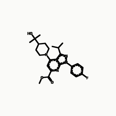 COC(=O)c1cc(N2CCC(C(C)(C)O)CC2)c2c(C(C)C)nn(-c3ccc(F)cc3)c2n1